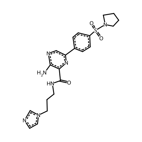 Nc1ncc(-c2ccc(S(=O)(=O)N3CCCC3)cc2)nc1C(=O)NCCCn1ccnc1